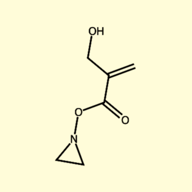 C=C(CO)C(=O)ON1CC1